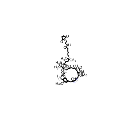 COc1cc2cc(c1Cl)N(C)C(=O)CC(OC(=O)C(C)N(C)C(=O)CCC(C)(C)SSCCCC(=O)NCCN1C(=O)C=CC1=O)C1(C)OC1C(C)C1CC(O)(NC(=O)O1)C(OC)/C=C/C=C(\C)C2